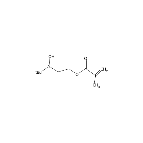 C=C(C)C(=O)OCCN(O)C(C)(C)C